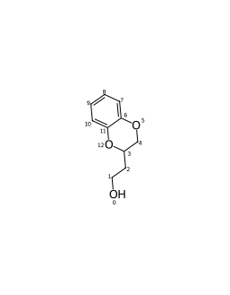 OCCC1COc2ccccc2O1